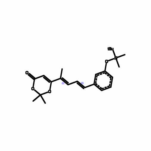 C/C(=C\C=C\c1cccc(O[Si](C)(C)C(C)(C)C)c1)C1=CC(=O)OC(C)(C)O1